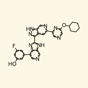 Oc1cc(F)cc(-c2cncc3[nH]c(-c4n[nH]c5cnc(-c6cncc(OC7CCCCC7)n6)cc45)nc23)c1